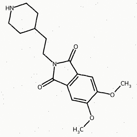 COc1cc2c(cc1OC)C(=O)N(CCC1CCNCC1)C2=O